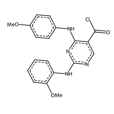 COc1ccc(Nc2nc(Nc3ccccc3OC)ncc2C(=O)Cl)cc1